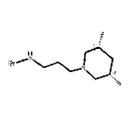 CC(C)NCCCN1C[C@H](C)C[C@H](C)C1